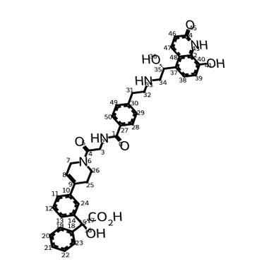 O=C(NCC(=O)N1CC=C(c2cccc([C@](O)(C(=O)O)c3ccccc3)c2)CC1)c1ccc(CCNC[C@H](O)c2ccc(O)c3[nH]c(=O)ccc23)cc1